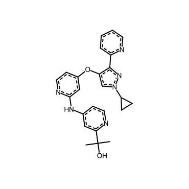 CC(C)(O)c1cc(Nc2cc(Oc3cn(C4CC4)nc3-c3ccccn3)ccn2)ccn1